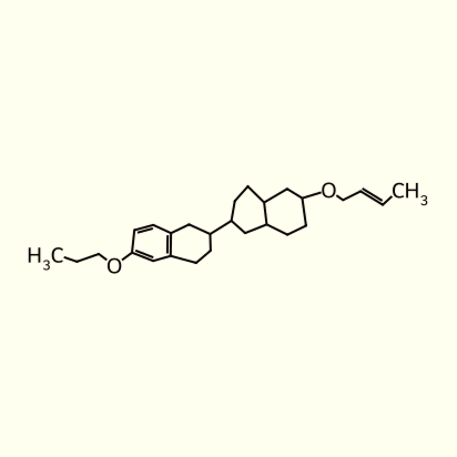 CC=CCOC1CCC2CC(C3CCc4cc(OCCC)ccc4C3)CCC2C1